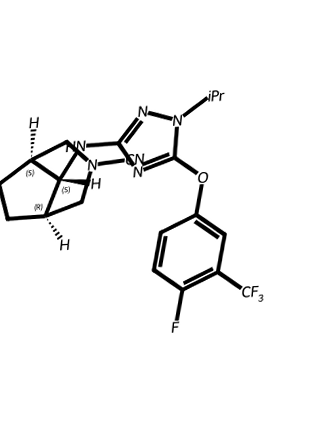 CC(C)n1nc(N[C@@H]2[C@@H]3CC[C@H]2CN(C#N)C3)nc1Oc1ccc(F)c(C(F)(F)F)c1